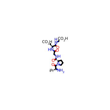 CC(C)[C@H](N)C(=O)N1CCC[C@H]1C(=O)NCC(=O)N[C@@H](CC(=O)O)C(=O)NCC(=O)O